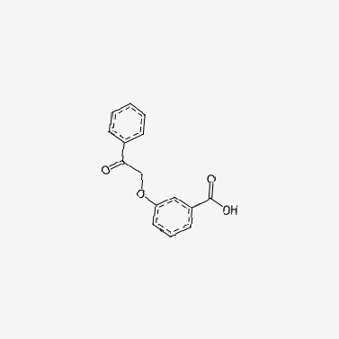 O=C(O)c1cccc(OCC(=O)c2ccccc2)c1